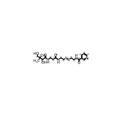 CC(C)(CO)[C@@H](O)C(=O)NCCC(=O)NCCSSCCNC(=O)c1cccnc1